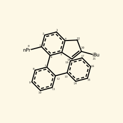 CCCc1ccc2c(c1-c1ccccc1-c1ccccc1)C=C(C(C)CC)[CH]2